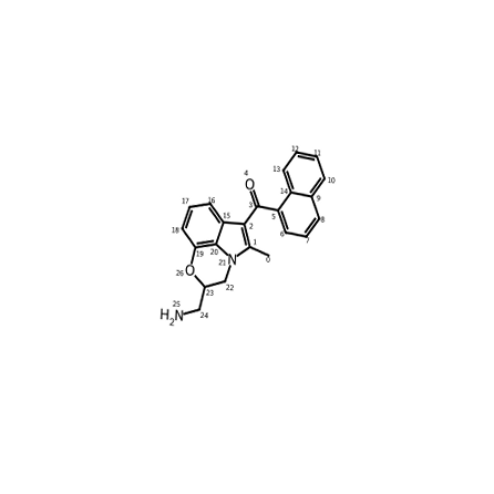 Cc1c(C(=O)c2cccc3ccccc23)c2cccc3c2n1CC(CN)O3